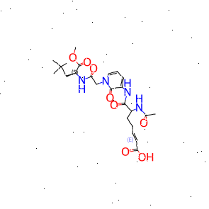 COC(=O)[C@H](CC(C)(C)C)NC(=O)Cn1cccc(NC(=O)C(CC/C=C/C(=O)O)NC(C)=O)c1=O